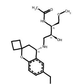 CCc1ccc2c(c1)[C@@H](NC[C@H](O)[C@H](COC)NC(C)=O)CC1(CCC1)O2